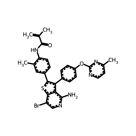 C=C(C)C(=O)Nc1ccc(-c2sc3c(Br)cnc(N)c3c2-c2ccc(Oc3nccc(C)n3)cc2)cc1C